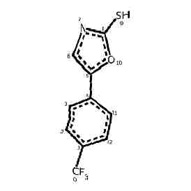 FC(F)(F)c1ccc(-c2cnc(S)o2)cc1